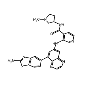 CN1CCC(NC(=O)c2ccncc2Nc2cc(-c3ccc4sc(N)nc4c3)c3nccnc3c2)C1